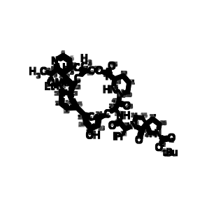 CCn1c(-c2cccnc2[C@H](C)OC)c2c3cc(ccc31)-c1cc(O)cc(c1)C[C@H](NC(=O)[C@H](C(C)C)N1CC[C@]3(CCN(C(=O)OC(C)(C)C)C3)C1=O)C(=O)N1CCC[C@H](N1)C(=O)OCC(C)(C)C2